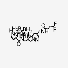 BC(B)(B)C(B)(B)n1nccc1C(=O)NCc1cn2ncc(CNC(=O)CCC(F)F)cc2n1